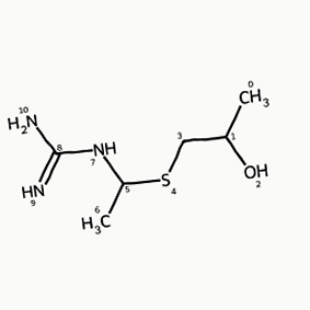 CC(O)CSC(C)NC(=N)N